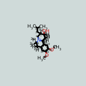 [2H]C1(CC(C)C)CN2C([2H])([2H])C([2H])([2H])c3cc(OC)c(OC)cc3C2([2H])C([2H])([2H])C1([2H])O